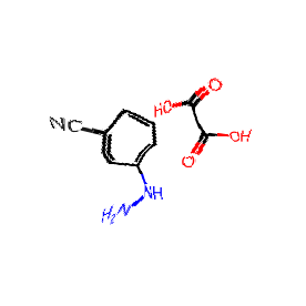 N#Cc1cccc(NN)c1.O=C(O)C(=O)O